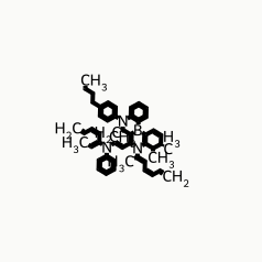 C=C/C=C\C=C(/C)N1C(/C=C(\C)N(C(/C=C\C=C)=C/C)c2ccccc2)=C2B(C3=C1C(C)[C@H](C)C=C3)c1ccccc1N(c1ccc(CCCC)cc1)C2=C